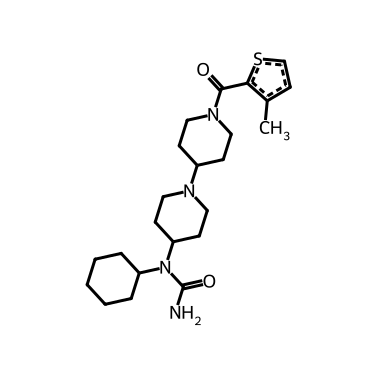 Cc1ccsc1C(=O)N1CCC(N2CCC(N(C(N)=O)C3CCCCC3)CC2)CC1